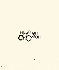 O=C1Nc2ccccc2C12CCCC(B(O)O)C2